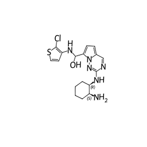 N[C@H]1CCCC[C@H]1Nc1ncc2ccc(C(O)Nc3ccsc3Cl)n2n1